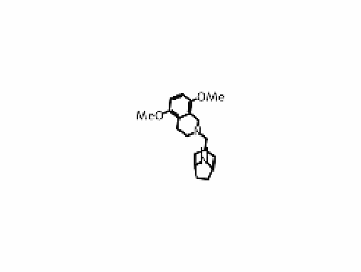 COc1ccc(OC)c2c1CCN(CC1CC3CCC(C1)N3)C2